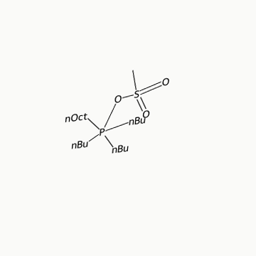 CCCCCCCCP(CCCC)(CCCC)(CCCC)OS(C)(=O)=O